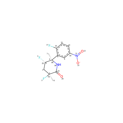 C[C@]1(F)C[C@H](F)[C@@](C)(c2cc([N+](=O)[O-])ccc2F)NC1=O